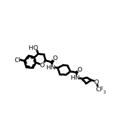 O=C(NC1CC(OC(F)(F)F)C1)C1CCC(NC(=O)C2CC(O)c3cc(Cl)ccc3O2)CC1